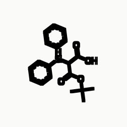 CC(C)(C)OC(=O)C(C(=O)O)[SiH](c1ccccc1)c1ccccc1